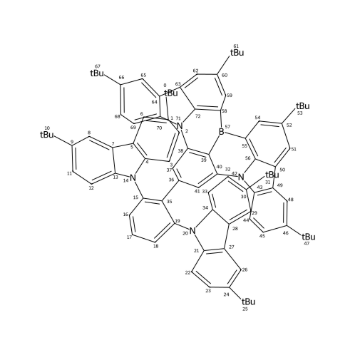 CC(C)(C)c1ccc2c(c1)c1cc(C(C)(C)C)ccc1n2-c1cccc(-n2c3ccc(C(C)(C)C)cc3c3cc(C(C)(C)C)ccc32)c1-c1cc2c3c(c1)-n1c4ccc(C(C)(C)C)cc4c4cc(C(C)(C)C)cc(c41)B3c1cc(C(C)(C)C)cc3c4cc(C(C)(C)C)ccc4n-2c13